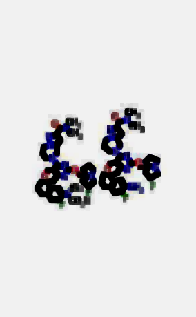 CN(C)C(=O)c1cc2n(n1)CCCN(c1nc(OC[C@@]34CCCN3C[C@H](F)C4)nc3c1COC1(CCCc4cc(F)c(N(C(=O)O)C(C)(C)C)cc41)C3)C2.CN(C)C(=O)c1cc2n(n1)CCCN(c1nc(OC[C@@]34CCCN3C[C@H](F)C4)nc3c1COC1(CCCc4cc(F)c(N)cc41)C3)C2